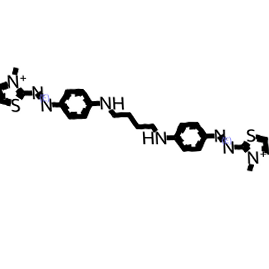 C[n+]1ccsc1/N=N/c1ccc(NCCCCNc2ccc(/N=N/c3scc[n+]3C)cc2)cc1